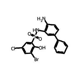 Nc1ccc(-c2ccccc2)cc1NS(=O)(=O)c1cc(Cl)cc(Br)c1O